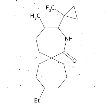 CCC1CCCC2(CCC(C)=C(C3(C(F)(F)F)CC3)NC2=O)CC1